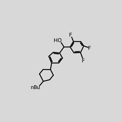 CCCCC1CCC(c2ccc(C(O)c3cc(F)c(F)cc3F)cc2)CC1